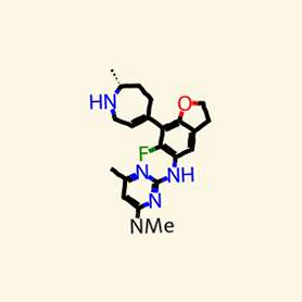 CNc1cc(C)nc(Nc2cc3c(c(C4=CCN[C@H](C)CC4)c2F)OCC3)n1